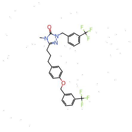 Cn1c(CCCc2ccc(OCc3cccc(C(F)(F)F)c3)cc2)nn(Cc2cccc(C(F)(F)F)c2)c1=O